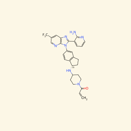 C=CC(=O)N1CCC(N[C@H]2CCc3cc(-n4c(-c5cccnc5N)nc5cc(C(F)(F)F)cnc54)ccc32)CC1